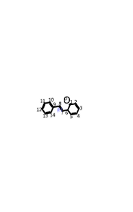 O=C1C=CC=CC1/C=C/c1ccccc1